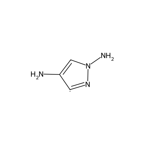 Nc1[c]nn(N)c1